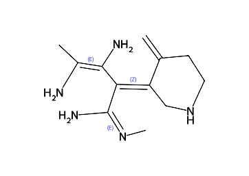 C=C1CCNC/C1=C(C(\N)=N/C)/C(N)=C(/C)N